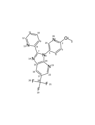 COc1ccc(-n2c(-c3ccccn3)nc3cc(C(F)(F)F)cnc32)cn1